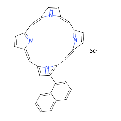 C1=Cc2cc3cc(-c4cccc5ccccc45)c(cc4nc(cc5ccc(cc1n2)[nH]5)C=C4)[nH]3.[Sc]